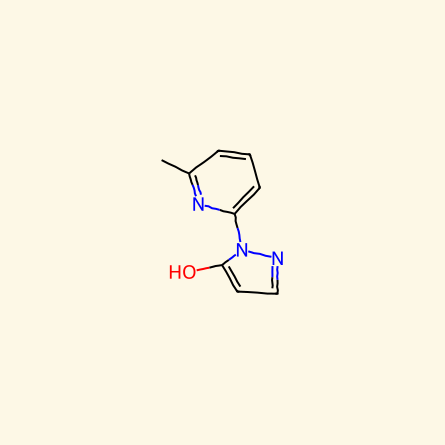 Cc1cccc(-n2nccc2O)n1